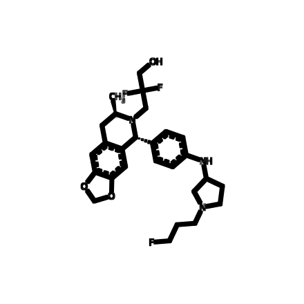 C[C@@H]1Cc2cc3c(cc2[C@@H](c2ccc(NC4CCN(CCCF)C4)cc2)N1CC(F)(F)CO)OCO3